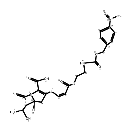 C[C@H](O)[C@@H]1C(=O)N2C(C(=O)O)=C(S/C=C\C(=O)OCCNC(=O)OCc3ccc([N+](=O)[O-])cc3)C[C@H]12